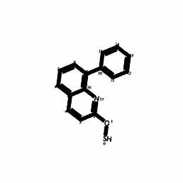 SOc1ccc2cccc(-c3ccccc3)c2n1